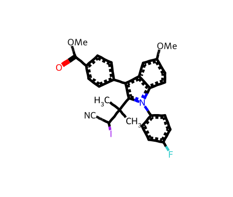 COC(=O)c1ccc(-c2c(C(C)(C)C(I)C#N)n(-c3ccc(F)cc3)c3ccc(OC)cc23)cc1